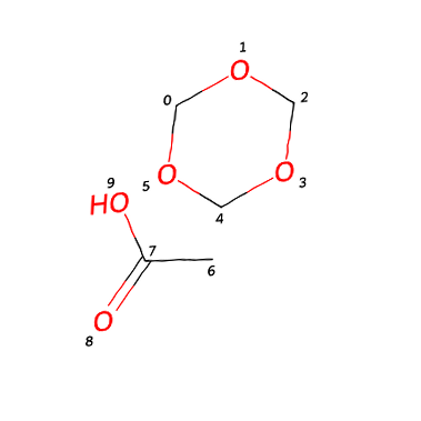 C1OCOCO1.CC(=O)O